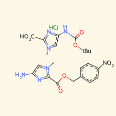 Cl.Cn1cc(N)nc1C(=O)OCc1ccc([N+](=O)[O-])cc1.Cn1cc(NC(=O)OC(C)(C)C)nc1C(=O)O